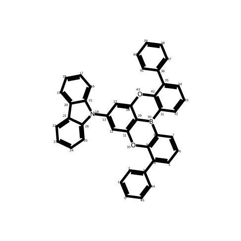 c1ccc(-c2cccc3c2Oc2cc(-n4c5ccccc5c5ccccc54)cc4c2B3c2cccc(-c3ccccc3)c2O4)cc1